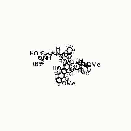 COc1cccc2c1C(=O)c1c(O)c3c(c(O)c1C2=O)C[C@@](O)(C(=O)COC1(OCC(=O)NCCCC[C@H](NC(=O)OC(C)(C)C)C(=O)O)CCCCC1)C[C@@H]3O[C@H]1C[C@H]2[C@H](O[C@@H]3[C@@H](OC)OCCN32)C(C)O1